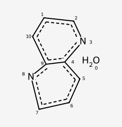 O.c1cnc2cccnc2c1